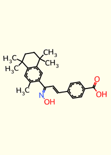 Cc1cc2c(cc1C(C=Cc1ccc(C(=O)O)cc1)=NO)C(C)(C)CCC2(C)C